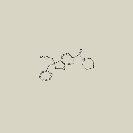 COCC1(Cc2ccccc2)COc2cc(C(=O)N3CCCCC3)ccc21